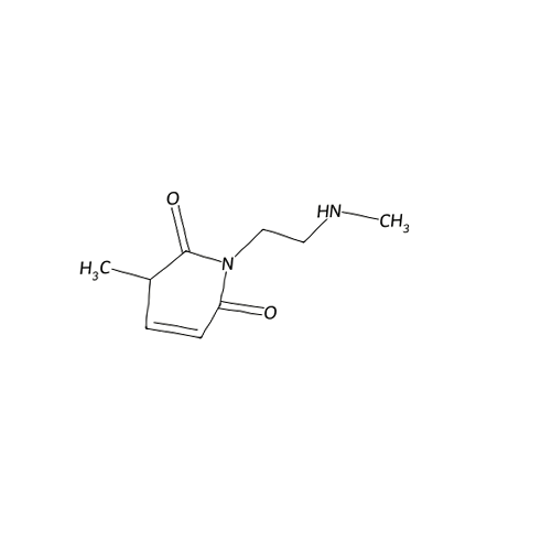 CNCCN1C(=O)C=CC(C)C1=O